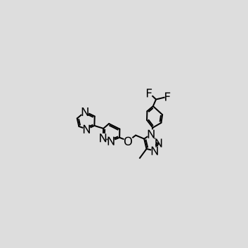 Cc1nnn(-c2ccc(C(F)F)cc2)c1COc1ccc(-c2cnccn2)nn1